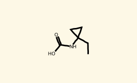 CCC1(NC(=O)O)CC1